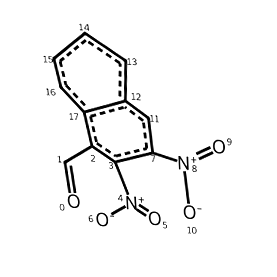 O=Cc1c([N+](=O)[O-])c([N+](=O)[O-])cc2ccccc12